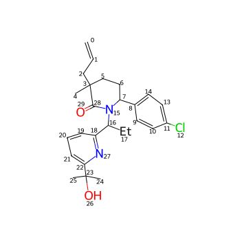 C=CCC1(C)CCC(c2ccc(Cl)cc2)N(C(CC)c2cccc(C(C)(C)O)n2)C1=O